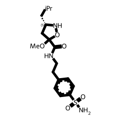 COC1(C(=O)NCCc2ccc(S(N)(=O)=O)cc2)C[C@H](CC(C)C)NO1